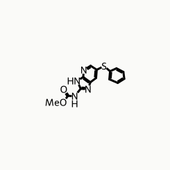 COC(=O)Nc1nc2cc(Sc3ccccc3)cnc2[nH]1